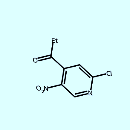 CCC(=O)c1cc(Cl)ncc1[N+](=O)[O-]